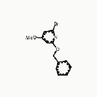 COc1cc(Br)nc(OCc2ccccc2)c1